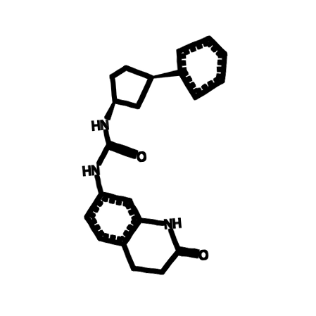 O=C1CCc2ccc(NC(=O)N[C@H]3CC[C@@H](c4ccccc4)C3)cc2N1